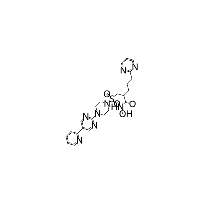 O=C(NO)C(CCCc1ncccn1)CS(=O)(=O)N1CCN(c2ncc(-c3ccccn3)cn2)CC1